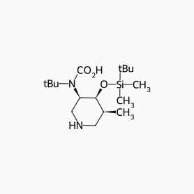 C[C@H]1CNC[C@@H](N(C(=O)O)C(C)(C)C)[C@H]1O[Si](C)(C)C(C)(C)C